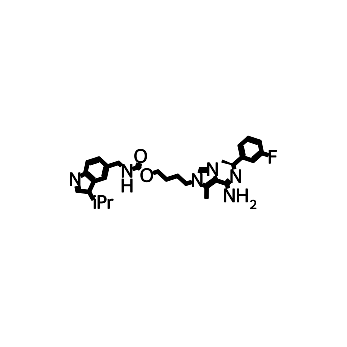 Cc1c(/C(N)=N\[C@@H](C)c2cccc(F)c2)ncn1CCCCOC(=O)NCc1ccc2c(c1)C(C(C)C)C=N2